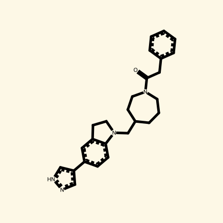 O=C(Cc1ccccc1)N1CCCC(CN2CCc3cc(-c4cn[nH]c4)ccc32)CC1